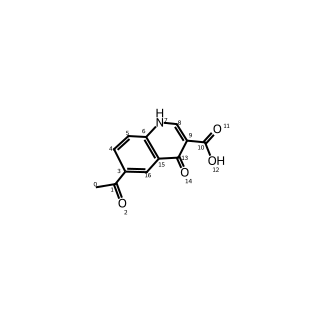 CC(=O)c1ccc2[nH]cc(C(=O)O)c(=O)c2c1